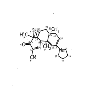 CC1(C)C(=O)C(C#N)=C[C@]2(C)C3=CC(N4CCCC4)=CC[C@]3(C)CC[C@@H]12